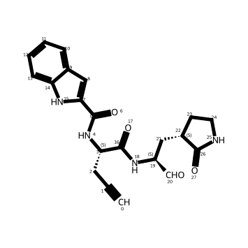 C#CC[C@H](NC(=O)c1cc2ccccc2[nH]1)C(=O)N[C@H](C=O)C[C@@H]1CCNC1=O